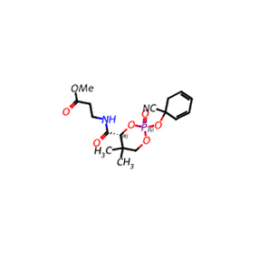 COC(=O)CCNC(=O)[C@@H]1O[P@@](=O)(OC2(C#N)C=CC=CC2)OCC1(C)C